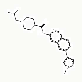 C[C@@H](F)CN1CCC(C(=O)Nc2cc3cc(-c4cnn(C)c4)ccc3nn2)CC1